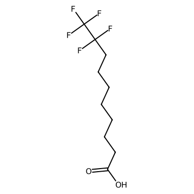 O=C(O)CCCCCCCC(F)(F)C(F)(F)F